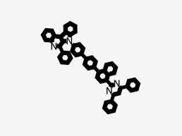 c1ccc(-c2cc(-c3ccccc3)nc(-c3ccc(-c4ccc(-c5ccc(-n6c7ccccc7c7c8ccccc8nc(-c8ccccc8)c76)cc5)cc4)c4ccccc34)n2)cc1